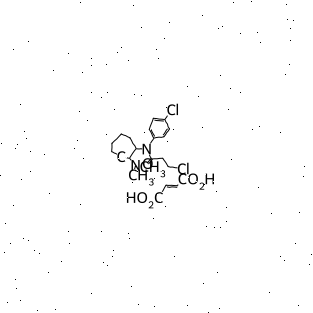 CN(C)C1CCCCCC1N(C(=O)CCCl)c1ccc(Cl)cc1.O=C(O)C=CC(=O)O